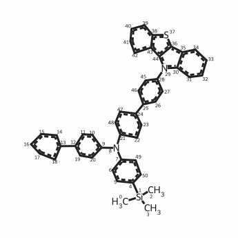 C[Si](C)(C)c1ccc(N(c2ccc(-c3ccccc3)cc2)c2ccc(-c3ccc(-n4c5ccccc5c5sc6ccccc6c54)cc3)cc2)cc1